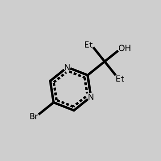 CCC(O)(CC)c1ncc(Br)cn1